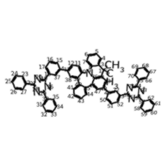 CC1(C)c2ccccc2N2c3ccc(-c4cccc(-c5nc(-c6ccccc6)nc(-c6ccccc6)n5)c4)cc3-c3ccccc3-c3cc(-c4cccc(-c5nc(-c6ccccc6)nc(-c6ccccc6)n5)c4)cc1c32